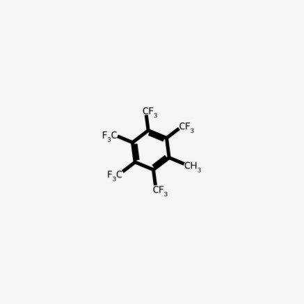 Cc1c(C(F)(F)F)c(C(F)(F)F)c(C(F)(F)F)c(C(F)(F)F)c1C(F)(F)F